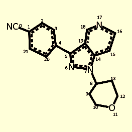 N#Cc1ccc(-c2nn(C3CCOCC3)c3ccncc23)cc1